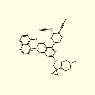 CC#CN1CCN(c2nc(OCC3(N4CCN(C)CC4)CC3)nc3c2CCN(c2cccc4cccc(Cl)c24)C3)C[C@@H]1CC#N